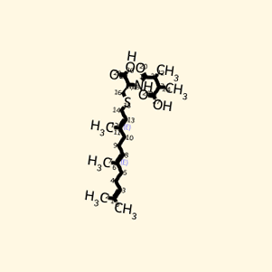 CC(C)=CCC/C(C)=C/CC/C(C)=C/CSC[C@H](NC(=O)C(C)C(C)C(=O)O)C(=O)O